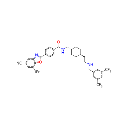 CC(C)c1cc(C#N)cc2nc(-c3ccc(C(=O)NC[C@H]4CC[C@H](CCNCc5cc(C(F)(F)F)cc(C(F)(F)F)c5)CC4)cc3)oc12